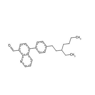 CCCCC(CC)CCc1ccc(-c2ccc(C=O)c3ncccc23)cc1